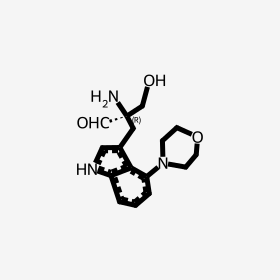 N[C@@](C=O)(CO)Cc1c[nH]c2cccc(N3CCOCC3)c12